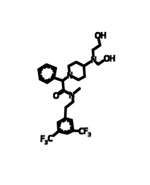 CN(CCc1cc(C(F)(F)F)cc(C(F)(F)F)c1)C(=O)C(c1ccccc1)N1CCC(N(CO)CCO)CC1